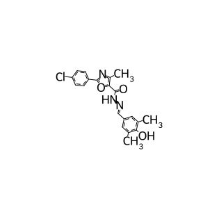 Cc1cc(C=NNC(=O)c2oc(-c3ccc(Cl)cc3)nc2C)cc(C)c1O